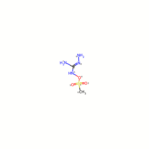 CS(=O)(=O)ONC(N)=NN